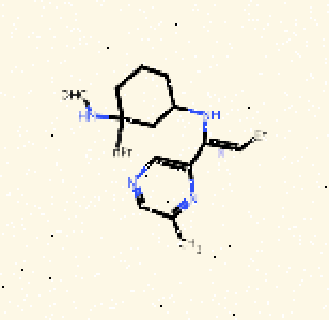 CC/C=C(\NC1CCCC(CCC)(NC=O)C1)c1cncc(C)n1